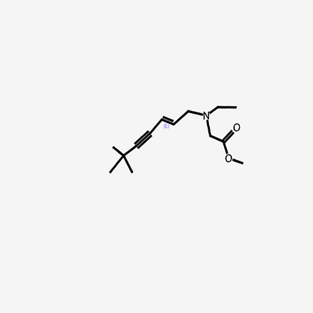 CCN(C/C=C/C#CC(C)(C)C)CC(=O)OC